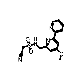 COc1cc(CNS(=O)(=O)CC#N)nc(-c2ccccn2)c1